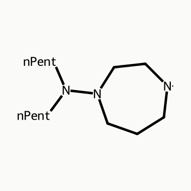 CCCCCN(CCCCC)N1CCC[N]CC1